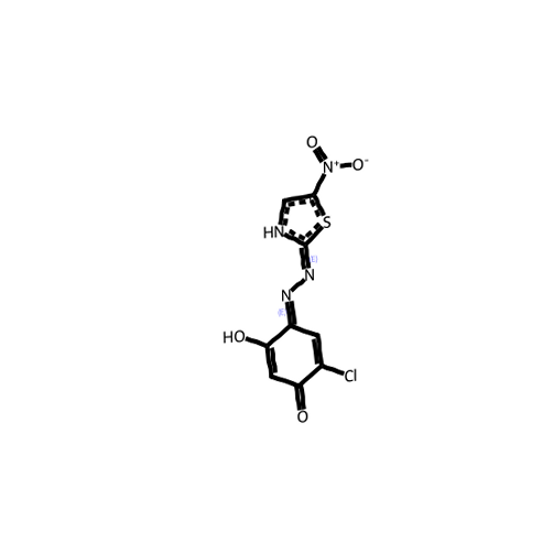 O=C1C=C(O)/C(=N/N=c2\[nH]cc([N+](=O)[O-])s2)C=C1Cl